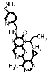 CCC(C)n1c(=O)c(NCc2ccc(SN)cn2)nc2cnc(-c3c(C)ncnc3C3CC3)nc21